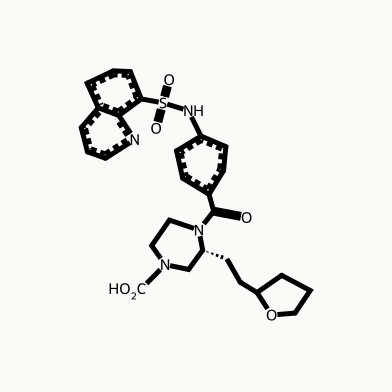 O=C(O)N1CCN(C(=O)c2ccc(NS(=O)(=O)c3cccc4cccnc34)cc2)[C@H](CCC2CCCO2)C1